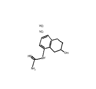 Cl.Cl.N=C(N)Nc1cccc2c1CC(O)CC2